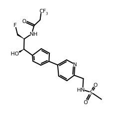 CS(=O)(=O)NCc1ccc(-c2ccc([C@@H](O)[C@@H](CF)NC(=O)CC(F)(F)F)cc2)cn1